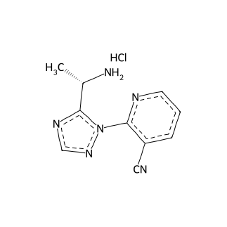 C[C@H](N)c1ncnn1-c1ncccc1C#N.Cl